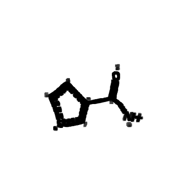 [NH]C(=O)c1ccsc1